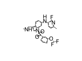 CNCc1cn(S(=O)(=O)c2cccc(OC(F)F)c2)c2cc(Nc3ccc(C)nc3F)ccc12